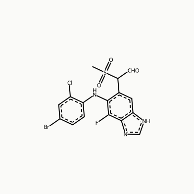 CS(=O)(=O)C(C=O)c1cc2[nH]cnc2c(F)c1Nc1ccc(Br)cc1Cl